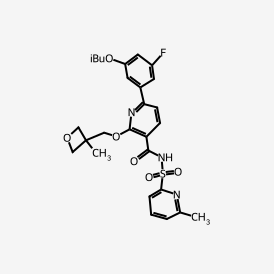 Cc1cccc(S(=O)(=O)NC(=O)c2ccc(-c3cc(F)cc(OCC(C)C)c3)nc2OCC2(C)COC2)n1